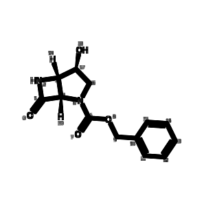 O=C1N[C@H]2[C@@H]1N(C(=O)OCc1ccccc1)C[C@@H]2O